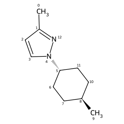 Cc1ccn([C@H]2CC[C@H](C)CC2)n1